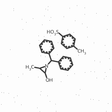 CC1C(O)N1C(c1ccccc1)c1ccccc1.Cc1ccc(S(=O)(=O)O)cc1